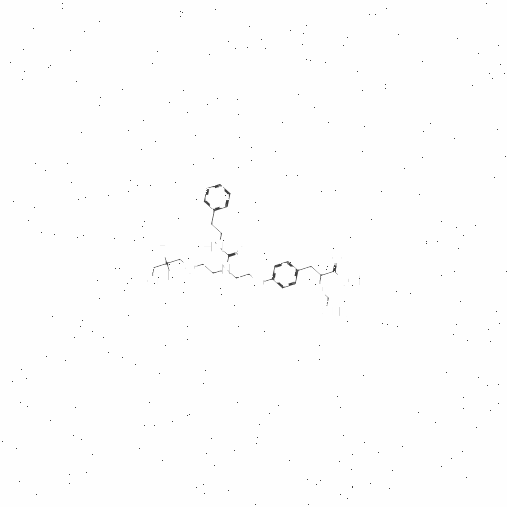 CCOC(Cc1ccc(OCCN(CCOCC(F)(F)CC)C(=O)NCCc2ccccc2)cc1)C(=O)O